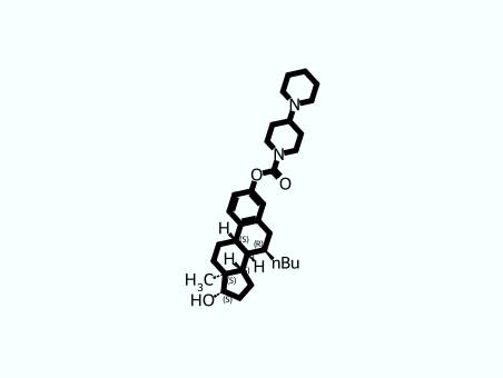 CCCC[C@@H]1Cc2cc(OC(=O)N3CCC(N4CCCCC4)CC3)ccc2[C@H]2CC[C@]3(C)[C@@H](O)CC[C@H]3[C@H]12